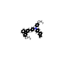 Cc1ccc(N(c2ccc(-c3ccc(C4(c5ccc(C)cc5)CCCCC4)cc3)cc2)c2ccc(-c3ccc4c(c3)CC4)cc2)cc1